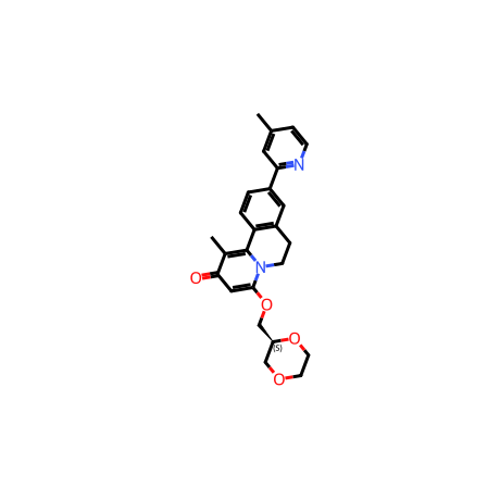 Cc1ccnc(-c2ccc3c(c2)CCn2c(OC[C@@H]4COCCO4)cc(=O)c(C)c2-3)c1